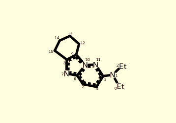 CCN(CC)c1ccc2nc3c(n2n1)CCCC3